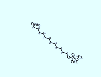 CCOP(=O)(O)OCCCCCCCCCCCCOC